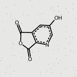 O=C1OC(=O)c2ncc(O)cc21